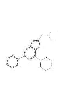 CN(C)Cc1nc2nc(-c3cncnc3)nc(N3CCOCC3)c2s1